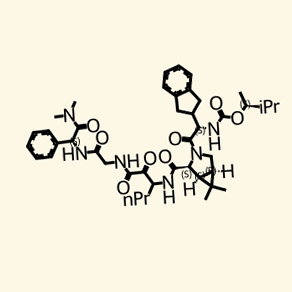 CCCC(NC(=O)[C@@H]1[C@H]2[C@@H](CN1C(=O)[C@@H](NC(=O)O[C@@H](C)C(C)C)C1Cc3ccccc3C1)C2(C)C)C(=O)C(=O)NCC(=O)N[C@H](C(=O)N(C)C)c1ccccc1